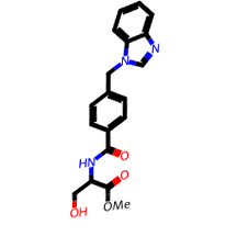 COC(=O)C(CO)NC(=O)c1ccc(Cn2cnc3ccccc32)cc1